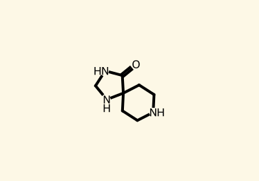 O=C1NCNC12CCNCC2